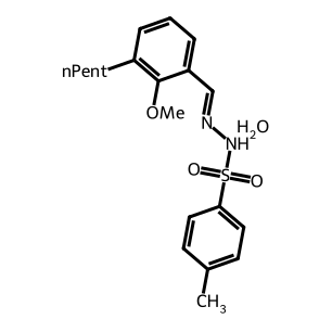 CCCCCc1cccc(C=NNS(=O)(=O)c2ccc(C)cc2)c1OC.O